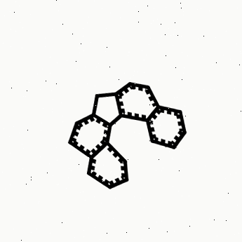 [c]1[c]c2c3c(ccc2cc1)Cc1ccc2ccccc2c1-3